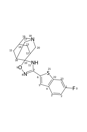 Fc1ccc2cc(C3=NOC4(N3)C3CC5CC4CN(C5)C3)sc2c1